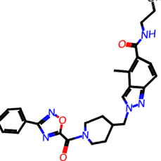 COCCNC(=O)c1ccc2nn(CC3CCN(C(=O)c4nc(-c5ccccc5)no4)CC3)cc2c1C